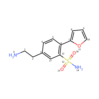 NCCc1ccc(-c2ccco2)c(S(N)(=O)=O)c1